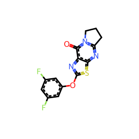 O=c1c2nc(Oc3cc(F)cc(F)c3)sc2nc2n1CCC2